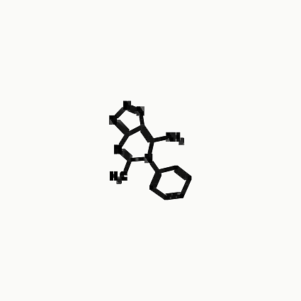 Cc1nc2nnnc-2c(N)n1-c1ccccc1